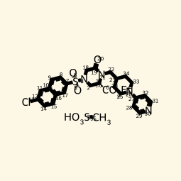 CCOC(=O)[C@@H]1CN(S(=O)(=O)c2ccc3cc(Cl)ccc3c2)CC(=O)N1CC1CCN(c2ccncc2)CC1.CS(=O)(=O)O